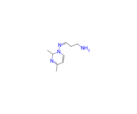 CC1=NC(C)N(/N=C\CCN)C=C1